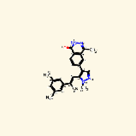 [CH2]c1n[nH]c(=O)c2ccc(-c3cnn(C)c3C=C(C#N)c3cc(C)cc(C)c3)cc12